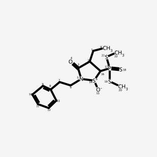 CCC1C(=O)N(CCc2ccccc2)[S+]([O-])C1P(=S)(SC)SC